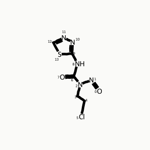 O=NN(CCCl)C(=O)Nc1nncs1